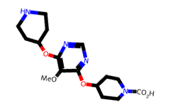 COc1c(OC2CCNCC2)ncnc1OC1CCN(C(=O)O)CC1